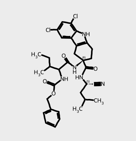 CCC(C)C(NC(=O)OCc1ccccc1)C(=O)N[C@]1(C(=O)N[C@H](C#N)CC(C)C)CCc2[nH]c3c(Cl)cc(Cl)cc3c2C1